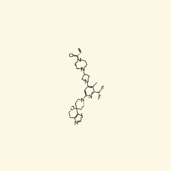 C=CC(=O)N1CCN(C2CN(c3cc(N4CCC5(CC4)OCCc4ncsc45)nc(C(F)F)c3C)C2)CC1